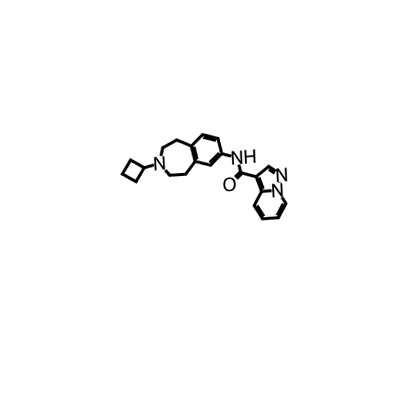 O=C(Nc1ccc2c(c1)CCN(C1CCC1)CC2)c1cnn2ccccc12